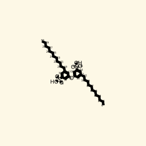 CCCCCCCCCCCCc1cc(Oc2cc(CCCCCCCCCCCC)cc(S(=O)(=O)O)c2)cc(S(=O)(=O)O)c1